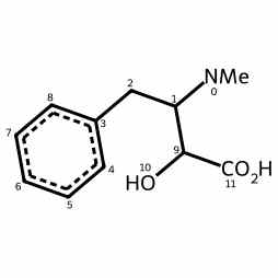 CNC(Cc1ccccc1)C(O)C(=O)O